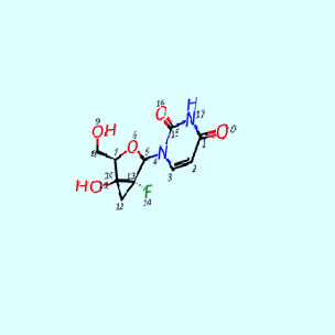 O=c1ccn(C2O[C@H](CO)C3(O)C[C@]23F)c(=O)[nH]1